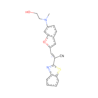 CN(CCO)c1ccc2cc(/C=C(\C#N)c3nc4ccccc4s3)oc2c1